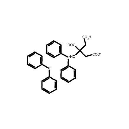 O=C([O-])CC(O)(CC(=O)O)C(=O)[O-].c1ccc([I+]c2ccccc2)cc1.c1ccc([I+]c2ccccc2)cc1